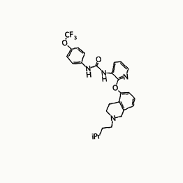 CC(C)CCN1CCc2c(cccc2Oc2ncccc2NC(=O)Nc2ccc(OC(F)(F)F)cc2)C1